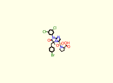 C[C@@]1(Cc2ccc(Br)cc2)C(=O)N(c2cc(Cl)cc(Cl)c2)c2ncc(S(=O)(=O)N3CCC[C@@H]3C(=O)O)n21